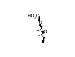 C#CCNC(=O)NCCOCCC(=O)O